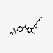 CNS(=O)(=O)c1ccc(Nc2ncc(Br)c(NCCCCO)n2)cc1